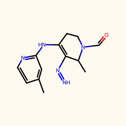 Cc1ccnc(NC2=C(N=N)C(C)N(C=O)CC2)c1